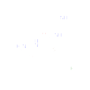 NC(=O)Nc1cc(-c2cccc(F)c2)sc1C(=O)N[C@@H]1CCNC1